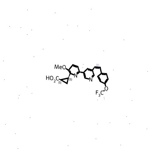 COc1ccc(-c2cncc(/C=C\c3ccc(OC(F)(F)F)cc3)c2)nc1[C@H]1C[C@@H]1C(=O)O